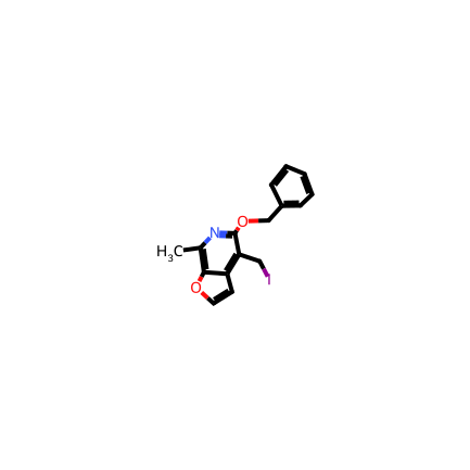 Cc1nc(OCc2ccccc2)c(CI)c2ccoc12